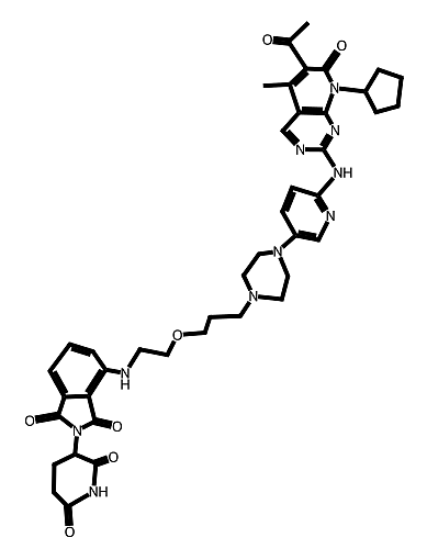 CC(=O)c1c(C)c2cnc(Nc3ccc(N4CCN(CCCOCCNc5cccc6c5C(=O)N(C5CCC(=O)NC5=O)C6=O)CC4)cn3)nc2n(C2CCCC2)c1=O